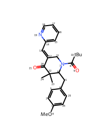 COc1ccc(CC2N(C(=O)C(C)(C)C)CC(=Cc3ccccn3)C(=O)C2(C)C)cc1